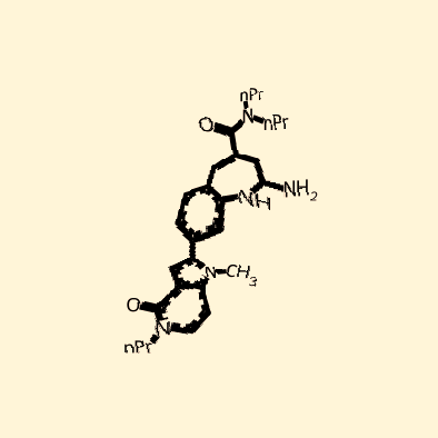 CCCN(CCC)C(=O)C1=Cc2ccc(-c3cc4c(=O)n(CCC)ccc4n3C)cc2NC(N)C1